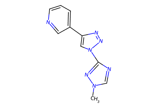 Cn1cnc(-n2cc(-c3cccnc3)nn2)n1